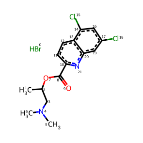 Br.CC(CN(C)C)OC(=O)c1ccc2c(Cl)cc(Cl)cc2n1